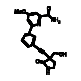 COc1cc(C(N)=O)nc(-c2cccc(C#CC3(CO)CCNC3=O)c2)c1